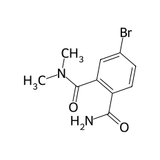 CN(C)C(=O)c1cc(Br)ccc1C(N)=O